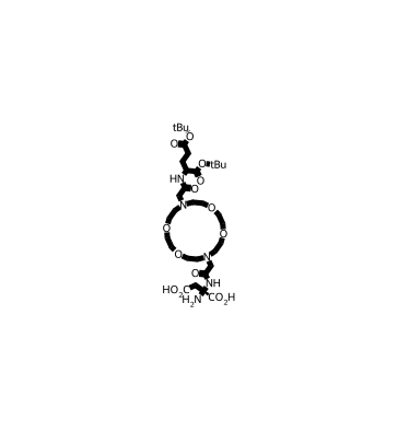 CC(C)(C)OC(=O)CCC(NC(=O)CN1CCOCCOCCN(CC(=O)N[C@](N)(CC(=O)O)C(=O)O)CCOCCOCC1)C(=O)OC(C)(C)C